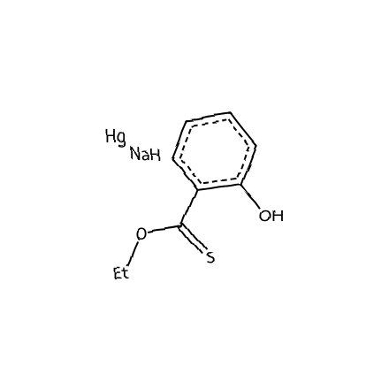 CCOC(=S)c1ccccc1O.[Hg].[NaH]